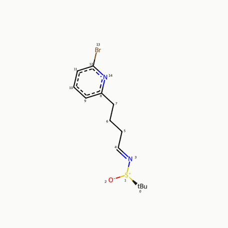 CC(C)(C)[S@@+]([O-])/N=C/CCCc1cccc(Br)n1